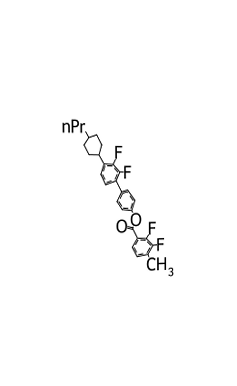 CCCC1CCC(c2ccc(-c3ccc(OC(=O)c4ccc(C)c(F)c4F)cc3)c(F)c2F)CC1